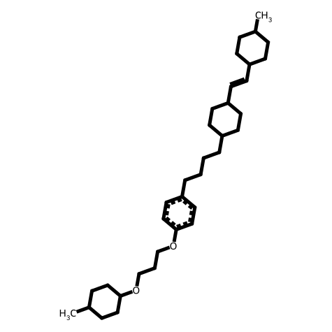 CC1CCC(C=CC2CCC(CCCCc3ccc(OCCCOC4CCC(C)CC4)cc3)CC2)CC1